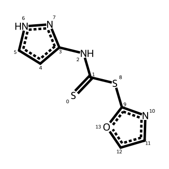 S=C(Nc1cc[nH]n1)Sc1ncco1